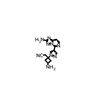 N#CCC1(n2cc(-c3nccc4nc(N)nn34)cn2)CC(N)C1